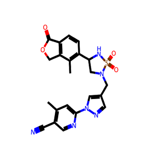 Cc1cc(-n2cc(CN3CC(c4ccc5c(c4C)COC5=O)NS3(=O)=O)cn2)ncc1C#N